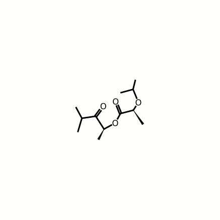 CC(C)O[C@@H](C)C(=O)O[C@@H](C)C(=O)C(C)C